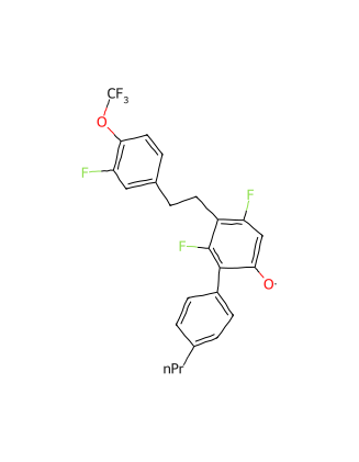 CCCc1ccc(-c2c([O])cc(F)c(CCc3ccc(OC(F)(F)F)c(F)c3)c2F)cc1